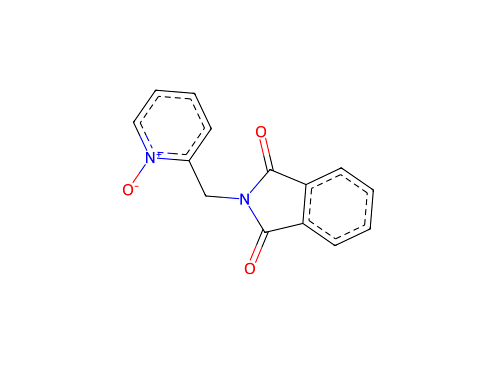 O=C1c2ccccc2C(=O)N1Cc1cccc[n+]1[O-]